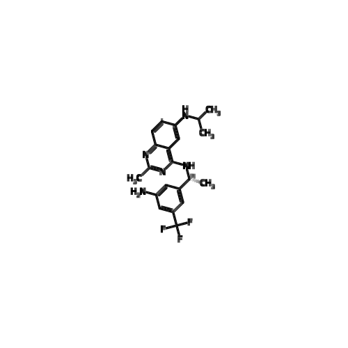 Cc1nc(N[C@H](C)c2cc(N)cc(C(F)(F)F)c2)c2cc(NC(C)C)[c]cc2n1